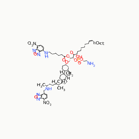 CCCCCCCC/C=C\CCCCCCCC(=O)C(OP(=O)(O)OCCN)[C@H](COC1CC[C@@]2(C)C(=CC[C@H]3[C@@H]4CC[C@H]([C@H](C)CCCC(C)NCc5ccc([N+](=O)[O-])c6nonc56)[C@@]4(C)CC[C@@H]32)C1)OC(=O)CCCCCNc1ccc([N+](=O)[O-])c2nonc12